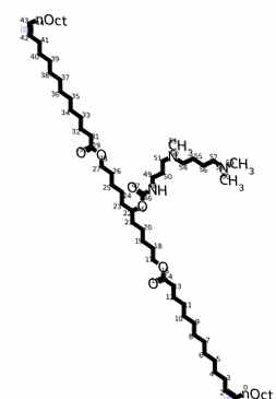 CCCCCCCC/C=C\CCCCCCCCCCCC(=O)OCCCCCC(CCCCCOC(=O)CCCCCCCCCCC/C=C\CCCCCCCC)OC(=O)NCCCN(C)CCCCN(C)C